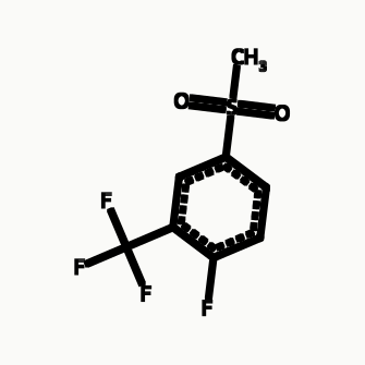 CS(=O)(=O)c1ccc(F)c(C(F)(F)F)c1